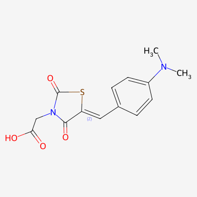 CN(C)c1ccc(/C=C2\SC(=O)N(CC(=O)O)C2=O)cc1